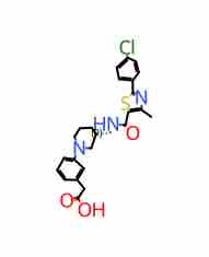 Cc1nc(-c2ccc(Cl)cc2)sc1C(=O)NC[C@H]1CCCN(c2cccc(CC(=O)O)c2)C1